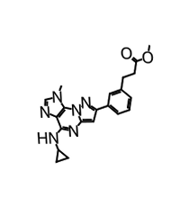 COC(=O)CCc1cccc(-c2cc3nc(NC4CC4)c4ncn(C)c4n3n2)c1